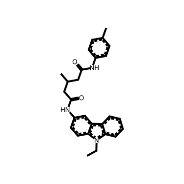 CCn1c2ccccc2c2cc(NC(=O)CC(C)CC(=O)Nc3ccc(C)cc3)ccc21